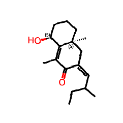 CCC(C)C=C1C[C@]2(C)CCC[C@H](O)C2=C(C)C1=O